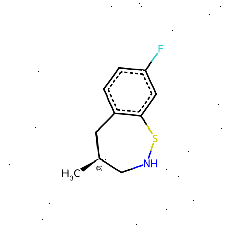 C[C@@H]1CNSc2cc(F)ccc2C1